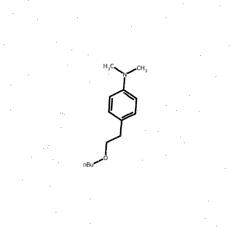 CCCCOCCc1ccc(N(C)C)cc1